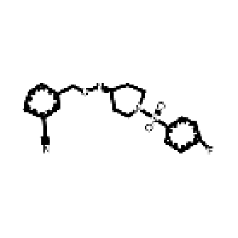 N#Cc1cccc(CON=C2CCN(S(=O)(=O)c3ccc(F)cc3)CC2)c1